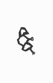 O=c1c2ccccc2ccc2ccc(F)cc12